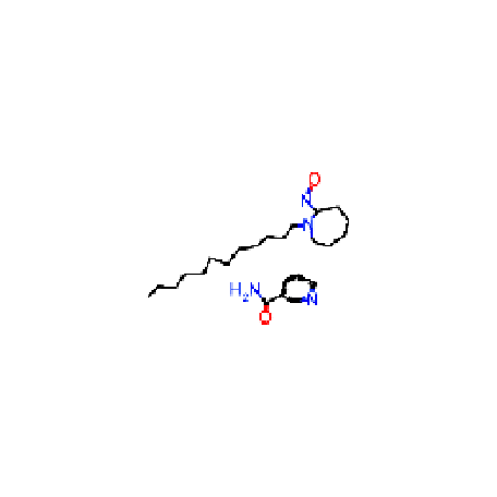 CCCCCCCCCCCCN1CCCCCC1N=O.NC(=O)c1cccnc1